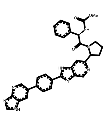 COC(=O)N[C@@H](C(=O)N1CCCC1c1cc2[nH]c(-c3ccc(-c4cnc5nc[nH]c5c4)cc3)nc2cn1)c1ccccc1